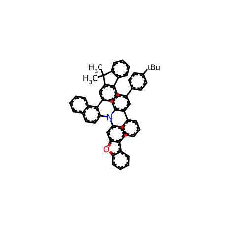 CC(C)(C)c1ccc(-c2ccc(N(c3ccc4c(c3)oc3ccccc34)c3ccc4ccccc4c3-c3ccc4c(c3)C(C)(C)c3ccccc3-4)c(-c3ccccc3)c2)cc1